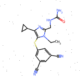 CCn1c(CNC(N)=O)nc(C2CC2)c1Sc1cc(C#N)cc(C#N)c1